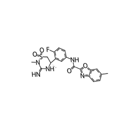 Cc1ccc2nc(C(=O)Nc3ccc(F)c([C@]4(C)CS(=O)(=O)N(C)C(=N)N4)c3)oc2c1